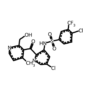 Cc1ccnc(CO)c1C(=O)c1ncc(Cl)cc1NS(=O)(=O)c1ccc(Cl)c(C(F)(F)F)c1